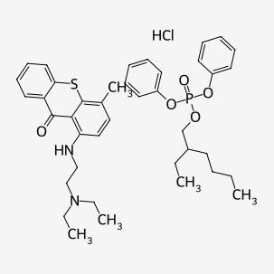 CCCCC(CC)COP(=O)(Oc1ccccc1)Oc1ccccc1.CCN(CC)CCNc1ccc(C)c2sc3ccccc3c(=O)c12.Cl